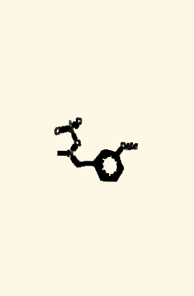 COc1cccc(CN(C)O[SH](=O)=O)c1